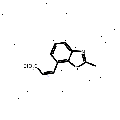 CCOC(=O)/C=C\c1cccc2nc(C)sc12